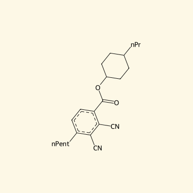 CCCCCc1ccc(C(=O)OC2CCC(CCC)CC2)c(C#N)c1C#N